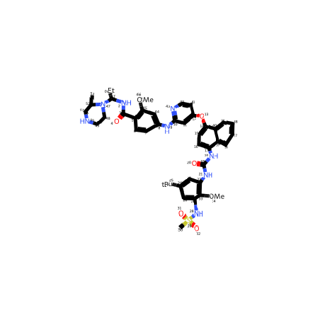 CCC(NC(=O)c1ccc(Nc2cc(Oc3ccc(NC(=O)Nc4cc(C(C)(C)C)cc(NS(C)(=O)=O)c4OC)c4ccccc34)ccn2)cc1OC)N1CCNCC1C